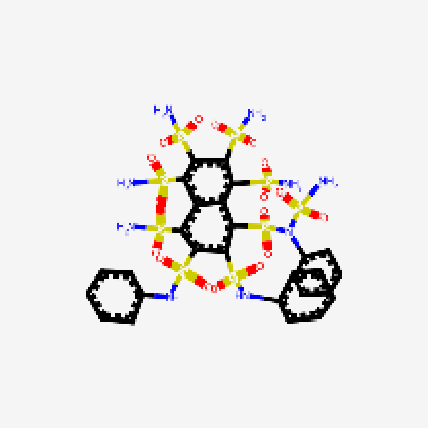 NS(=O)(=O)c1c(S(N)(=O)=O)c(S(N)(=O)=O)c2c(S(=O)(=O)N(c3ccccc3)S(N)(=O)=O)c(S(=O)(=O)Nc3ccccc3)c(S(=O)(=O)Nc3ccccc3)c(S(N)(=O)=O)c2c1S(N)(=O)=O